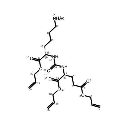 C=CCOC(=O)CC[C@H](NC(=O)N[C@@H](CCCCNC(C)=O)C(=O)OCC=C)C(=O)OCC=C